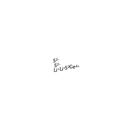 [Ge+4].[Li+].[Li+].[S-2].[S-2].[S-2]